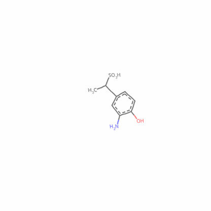 CC(c1ccc(O)c(N)c1)S(=O)(=O)O